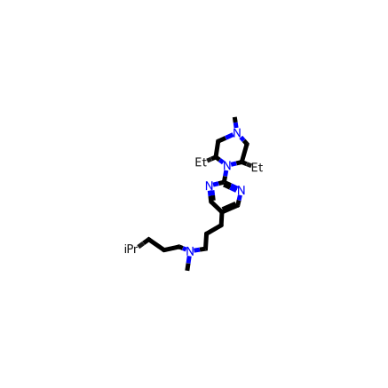 CCC1CN(C)CC(CC)N1c1ncc(CCCN(C)CCCC(C)C)cn1